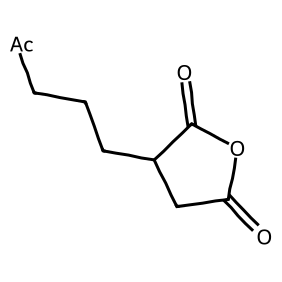 CC(=O)CCCC1CC(=O)OC1=O